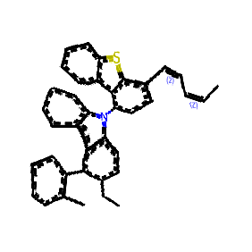 C/C=C\C=C/c1ccc(-n2c3ccccc3c3c(-c4ccccc4C)c(CC)ccc32)c2c1sc1ccccc12